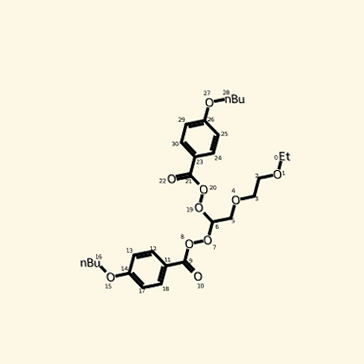 [CH2]COCCOC[C](OOC(=O)c1ccc(OCCCC)cc1)OOC(=O)c1ccc(OCCCC)cc1